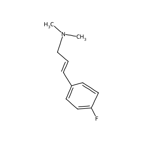 CN(C)C/C=C/c1ccc(F)cc1